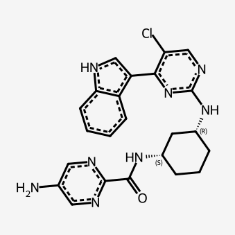 Nc1cnc(C(=O)N[C@H]2CCC[C@@H](Nc3ncc(Cl)c(-c4c[nH]c5ccccc45)n3)C2)nc1